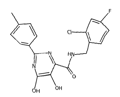 Cc1ccc(-c2nc(O)c(O)c(C(=O)NCc3ccc(F)cc3Cl)n2)cc1